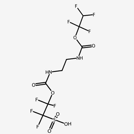 O=C(NCCNC(=O)OC(F)(F)C(F)(F)S(=O)(=O)O)OC(F)(F)C(F)F